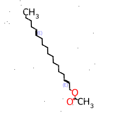 CCCC/C=C/CCCCCCCCC/C=C/COC(C)=O